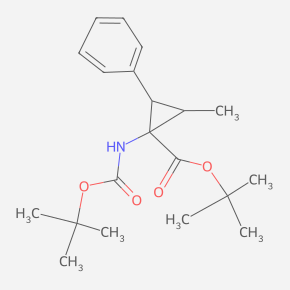 CC1C(c2ccccc2)C1(NC(=O)OC(C)(C)C)C(=O)OC(C)(C)C